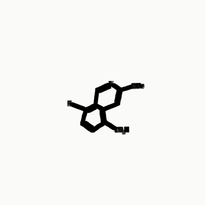 COc1cc2c(C(=O)O)ccc(F)c2cn1